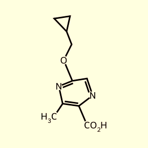 Cc1nc(OCC2CC2)cnc1C(=O)O